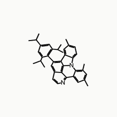 Cc1ccc2c(c1)c1c(-c3c(C(C)C)cc(C(C)C)cc3C(C)C)cc3ccnc4c5cc(C)cc(C)c5n2c1c34